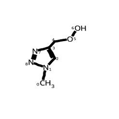 Cn1cc(COO)nn1